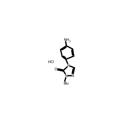 CCC(C)n1ncn(-c2ccc(N)cc2)c1=O.Cl